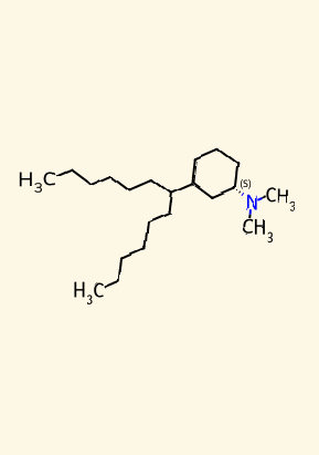 CCCCCCC(CCCCCC)C1CCC[C@H](N(C)C)C1